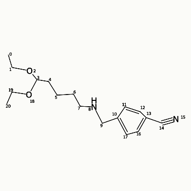 CCOC(CCCCNCc1ccc(C#N)cc1)OCC